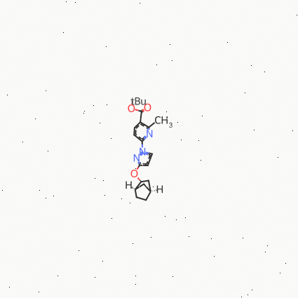 Cc1nc(-n2ccc(O[C@H]3C[C@H]4CC[C@@H]3C4)n2)ccc1C(=O)OC(C)(C)C